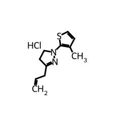 C=CCC1=NN(c2sccc2C)CC1.Cl